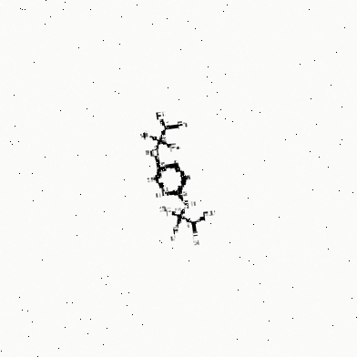 FC(F)C(F)(F)Oc1ccc(SC(F)(F)C(F)F)nc1